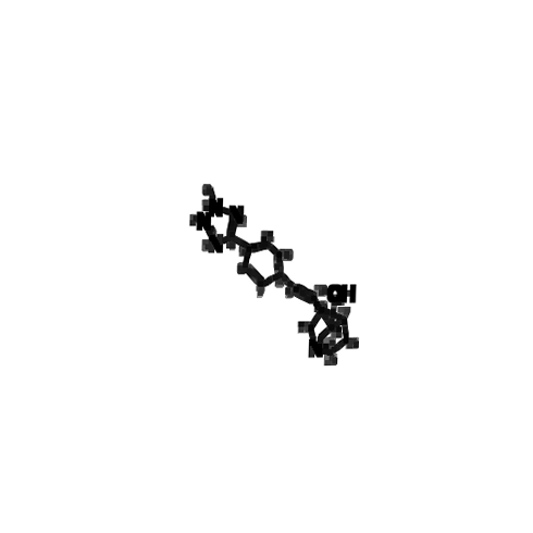 Cn1nnc(-c2ccc(C#CC3(O)CN4CCC3CC4)cc2)n1